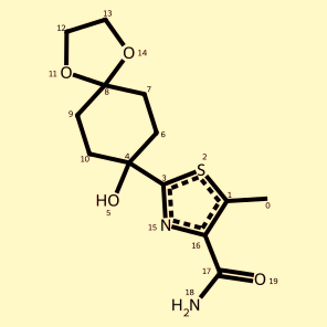 Cc1sc(C2(O)CCC3(CC2)OCCO3)nc1C(N)=O